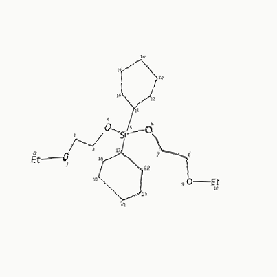 CCOCCO[Si](OCCOCC)(C1CCCCC1)C1CCCCC1